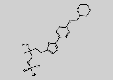 CC(N)(CCc1ccc(-c2ccc(OCC3CCCCC3)cc2)s1)COP(=O)(O)O